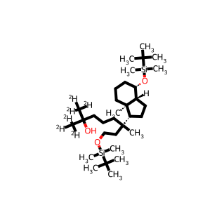 [2H]C([2H])([2H])C(O)(CCCC(C)(CCO[Si](C)(C)C(C)(C)C)[C@H]1CC[C@H]2[C@@H](O[Si](C)(C)C(C)(C)C)CCC[C@]12C)C([2H])([2H])[2H]